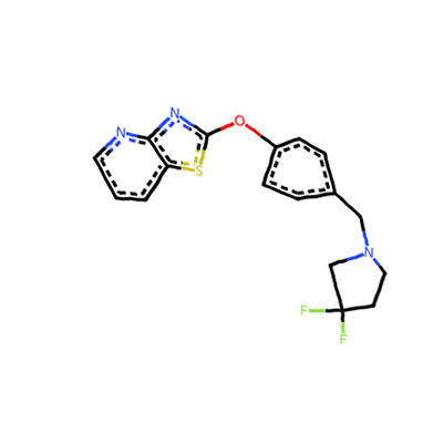 FC1(F)CCN(Cc2ccc(Oc3nc4ncccc4s3)cc2)C1